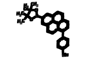 CC(C)(C)c1ccc(-c2ccc3ccc4cc(B5OC(C)(C)C(C)(C)O5)cc5ccc2c3c45)cc1